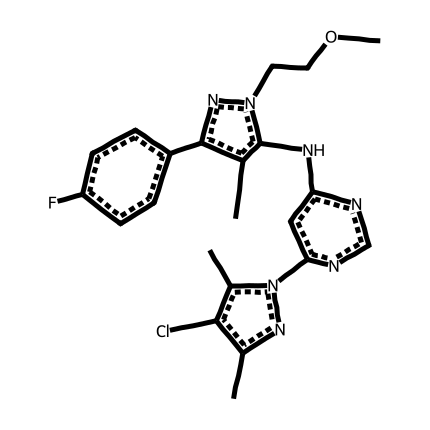 COCCn1nc(-c2ccc(F)cc2)c(C)c1Nc1cc(-n2nc(C)c(Cl)c2C)ncn1